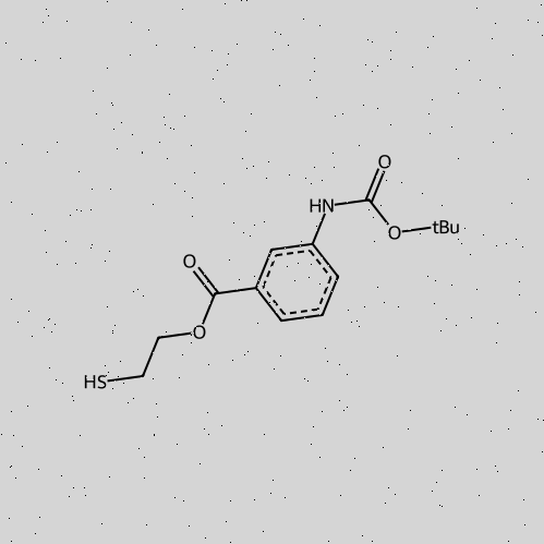 CC(C)(C)OC(=O)Nc1cccc(C(=O)OCCS)c1